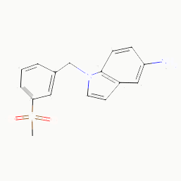 CS(=O)(=O)c1cccc(Cn2ccc3cc(N)ccc32)c1